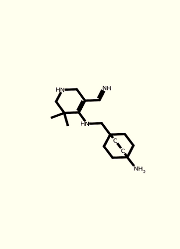 CC1(C)CNCC(C=N)=C1NCC12CCC(N)(CC1)CC2